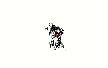 COC[C@@H]1NC(=O)[C@H](C)N(Cc2c(F)cc(Cl)cc2Oc2ccc(-c3cnc(CNC(C)(C)C)n3C)cc2)C(=O)C[C@@H](CC(F)(F)F)C(=O)N2CCC[C@@](Cc3ccc(Cl)cc3)(C2)NC1=O